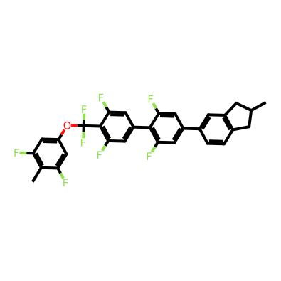 Cc1c(F)cc(OC(F)(F)c2c(F)cc(-c3c(F)cc(-c4ccc5c(c4)CC(C)C5)cc3F)cc2F)cc1F